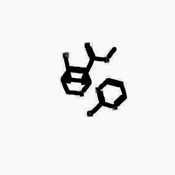 COC(=O)c1c2ccc(c1Cl)CS2.Clc1ncccn1